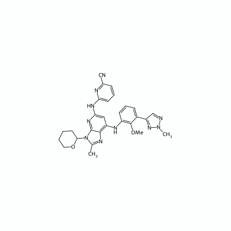 COc1c(Nc2cc(Nc3cccc(C#N)n3)nc3c2nc(C)n3C2CCCCO2)cccc1-c1cnn(C)n1